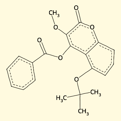 COc1c(OC(=O)c2ccccc2)c2c(OC(C)(C)C)cccc2oc1=O